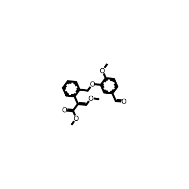 CO/C=C(/C(=O)OC)c1ccccc1COc1cc(C=O)ccc1OC